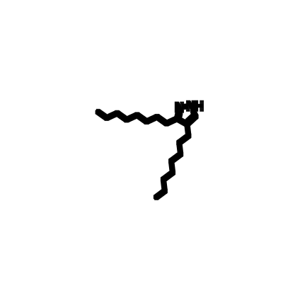 CCCCCCCCc1c[nH]nc1CCCCCCCC